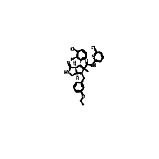 CCOc1cccc(CN2[C@H]3CNC(=O)[C@H]3[C@H](c3cccc(Cl)c3F)[C@]2(C)C(=O)Nc2cccc(Cl)n2)c1